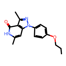 CCCOc1ccc(-n2nc(C)c3c(=O)[nH]c(C)cc32)cc1